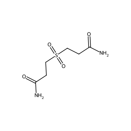 NC(=O)CCS(=O)(=O)CCC(N)=O